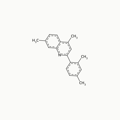 Cc1ccc(-c2cc(C)c3ccc(C)cc3n2)c(C)c1